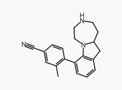 Cc1cc(C#N)ccc1-c1cccc2c1N1CCNCCC1C2